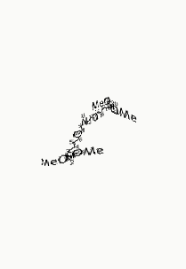 CO[Si](C)(CCCCOCCN(C)CCOCCCC[Si](C)(OC)OC)OC